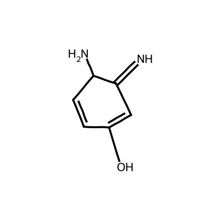 N=C1C=C(O)C=CC1N